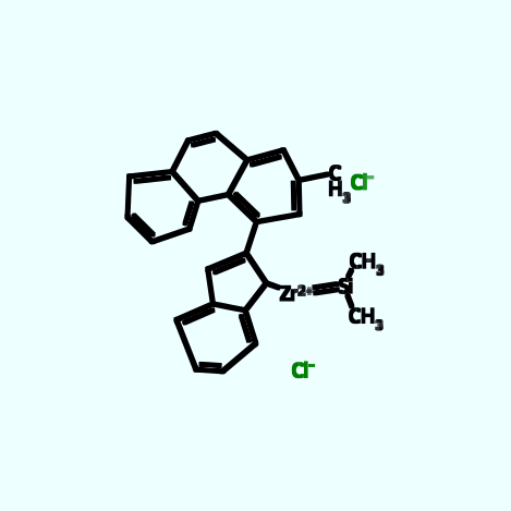 Cc1cc(C2=Cc3ccccc3[CH]2[Zr+2]=[Si](C)C)c2c(ccc3ccccc32)c1.[Cl-].[Cl-]